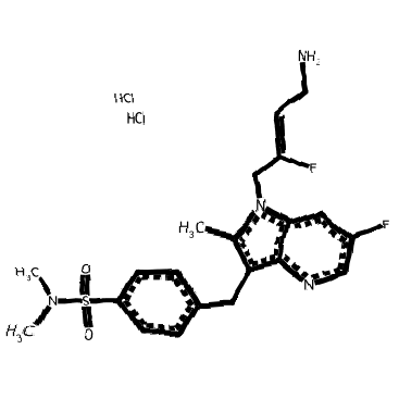 Cc1c(Cc2ccc(S(=O)(=O)N(C)C)cc2)c2ncc(F)cc2n1CC(F)=CCN.Cl.Cl